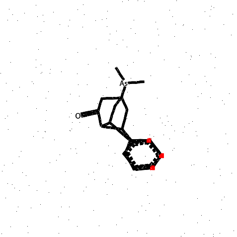 C[As](C)C12CC(=O)C(C(c3ccccc3)C1)C(c1ccccc1)C2